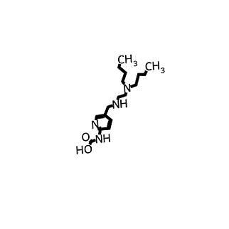 CCCCN(CCCC)CCNCc1ccc(NC(=O)O)nc1